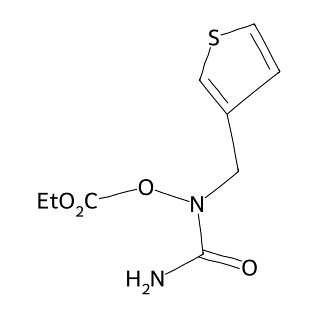 CCOC(=O)ON(Cc1ccsc1)C(N)=O